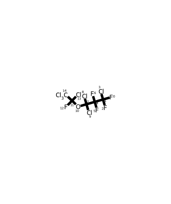 FC(F)(Cl)C(F)(F)C(Cl)(Cl)OC(F)(Cl)C(Cl)(Cl)Cl